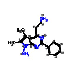 Cc1c(C)n(N)c2nc(-c3ccccc3)nc(CCN)c12